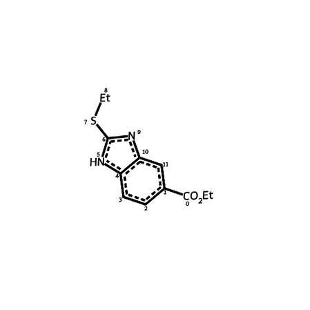 CCOC(=O)c1ccc2[nH]c(SCC)nc2c1